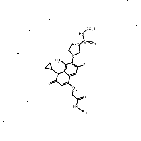 Cc1c(N2CC[C@@H]([C@H](C)NC(=O)O)C2)c(F)cc2c(OCC(=O)NN)cc(=O)n(C3CC3)c12